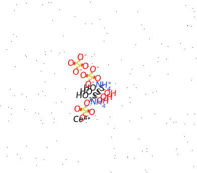 O=S(=O)(O)O.O=S(=O)(O)O.O=S(=O)(O)O.O=S(=O)([O-])[O-].O=S(=O)([O-])[O-].O=S(=O)([O-])[O-].[Ce+4].[NH4+].[NH4+]